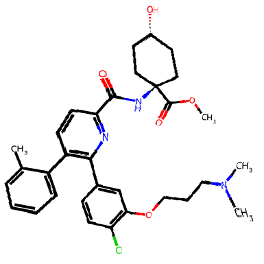 COC(=O)[C@]1(NC(=O)c2ccc(-c3ccccc3C)c(-c3ccc(Cl)c(OCCCN(C)C)c3)n2)CC[C@H](O)CC1